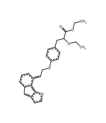 CCOC(=O)C(Cc1ccc(OCC=c2cccc3c2=c2occc2=C3)cc1)OCC